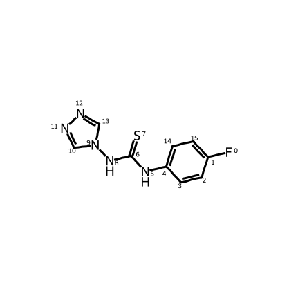 Fc1ccc(NC(=S)Nn2cnnc2)cc1